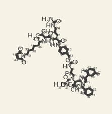 COC(=O)N(C[C@@H](F)CNC(=O)OCc1ccc(NC(=O)[C@H](CCCNC(N)=O)NC(=O)[C@@H](NC(=O)CCCCCN2C(=O)C=CC2=O)C(C)C)cc1)[C@@H](c1nc(-c2cc(F)ccc2F)cn1Cc1ccccc1)C(C)(C)C